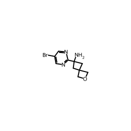 NC1(c2ncc(Br)cn2)CC2(COC2)C1